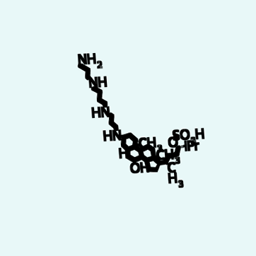 CC(C)[C@H](CC[C@H](C)[C@H]1CCC2C3C(CC[C@@]21C)[C@@]1(C)CC[C@H](NCCCNCCCCNCCCN)C[C@@H]1C[C@H]3O)OS(=O)(=O)O